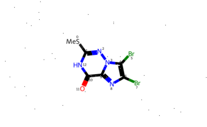 CSc1nn2c(Br)c(Br)nc2c(=O)[nH]1